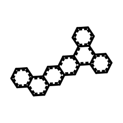 c1ccc2c(c1)ccc1cc3cc4c5ccccc5c5ccccc5c4cc3cc12